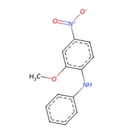 COc1cc([N+](=O)[O-])ccc1Nc1ccccc1